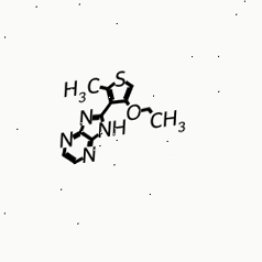 CCOc1csc(C)c1-c1nc2nccnc2[nH]1